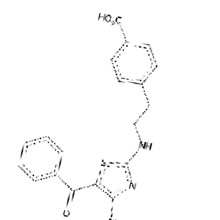 Nc1nc(NCCc2ccc(C(=O)O)cc2)sc1C(=O)c1ccccc1